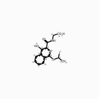 CC(I)Sc1nc(C(=O)NCC(=O)O)c(O)c2ccccc12